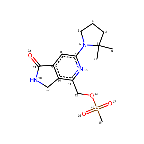 CC1(C)CCCN1c1cc2c(c(COS(C)(=O)=O)n1)CNC2=O